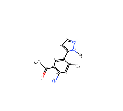 CCn1nccc1-c1cc(C(=O)OC)c(N)cc1C(F)(F)F